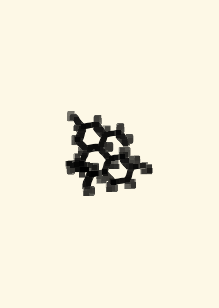 C=Cc1cc(C)cc(C=C)c1C1C=C(C)CC[C@H]1C(=C)F